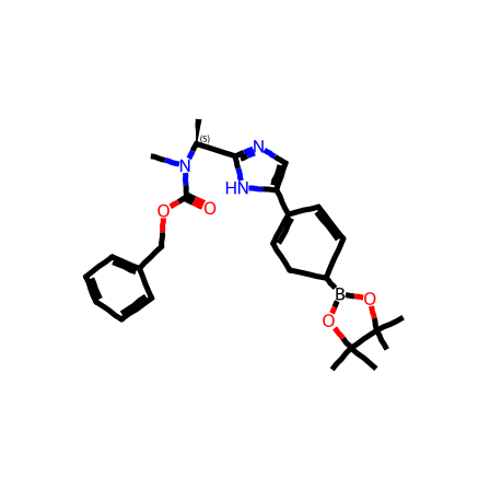 C[C@@H](c1ncc(C2=CCC(B3OC(C)(C)C(C)(C)O3)C=C2)[nH]1)N(C)C(=O)OCc1ccccc1